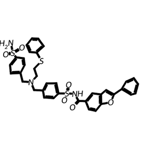 NS(=O)(=O)c1ccc(CN(CCSc2ccccc2)Cc2ccc(S(=O)(=O)NC(=O)c3ccc4oc(-c5ccccc5)cc4c3)cc2)cc1